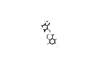 Cc1[nH]c(=O)c(CN2CCc3c(Cl)cc(OC(C)C)c(Cl)c3C2=O)c2cn[nH]c12